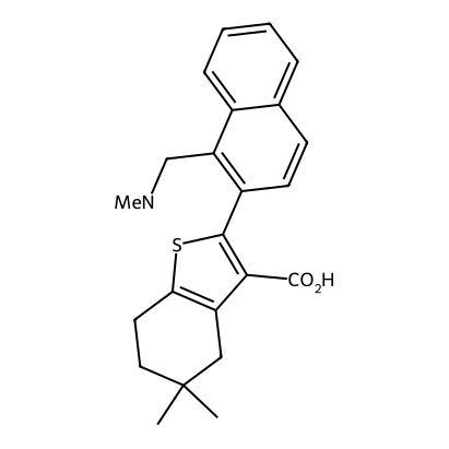 CNCc1c(-c2sc3c(c2C(=O)O)CC(C)(C)CC3)ccc2ccccc12